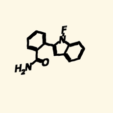 NC(=O)c1ccccc1-c1cc2ccccc2n1F